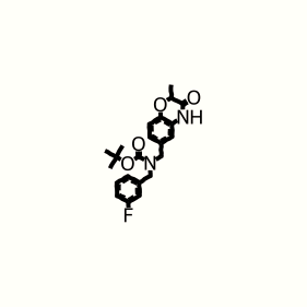 CC1Oc2ccc(CN(Cc3cccc(F)c3)C(=O)OC(C)(C)C)cc2NC1=O